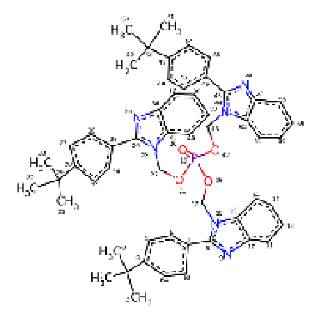 CC(C)(C)c1ccc(-c2nc3ccccc3n2COP(=O)(OCn2c(-c3ccc(C(C)(C)C)cc3)nc3ccccc32)OCn2c(-c3ccc(C(C)(C)C)cc3)nc3ccccc32)cc1